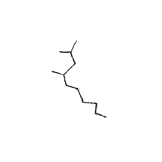 CCCC[CH]CC(C)CC(C)C